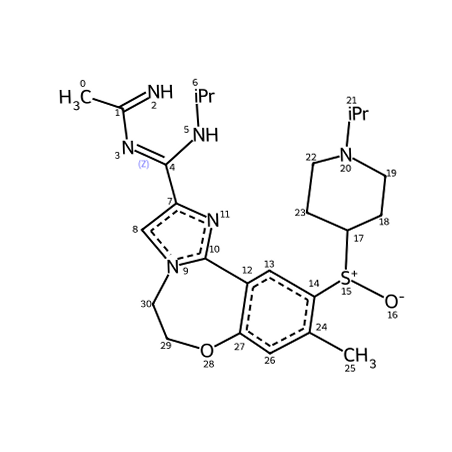 CC(=N)/N=C(\NC(C)C)c1cn2c(n1)-c1cc([S+]([O-])C3CCN(C(C)C)CC3)c(C)cc1OCC2